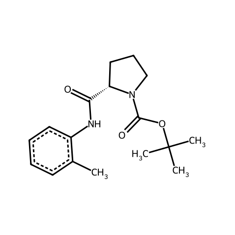 Cc1ccccc1NC(=O)[C@@H]1CCCN1C(=O)OC(C)(C)C